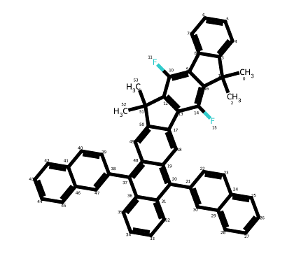 CC1(C)c2ccccc2-c2c(F)c3c(c(F)c21)-c1cc2c(-c4ccc5ccccc5c4)c4ccccc4c(-c4ccc5ccccc5c4)c2cc1C3(C)C